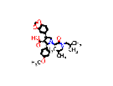 COc1ccc([C@@H]2[C@@H](C(=O)O)[C@@H](c3ccc4c(c3)OCO4)CN2CC(=O)N(CC(C)C)CC(C)C)cc1